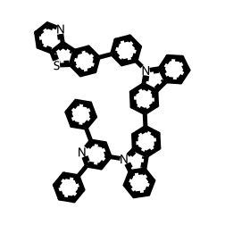 c1ccc(-c2cc(-n3c4ccccc4c4ccc(-c5ccc6c(c5)c5ccccc5n6-c5cccc(-c6ccc7sc8cccnc8c7c6)c5)cc43)cc(-c3ccccc3)n2)cc1